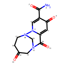 NC(=O)c1cn2c(cc1=O)C(=O)N1CC(=O)CCN2C1